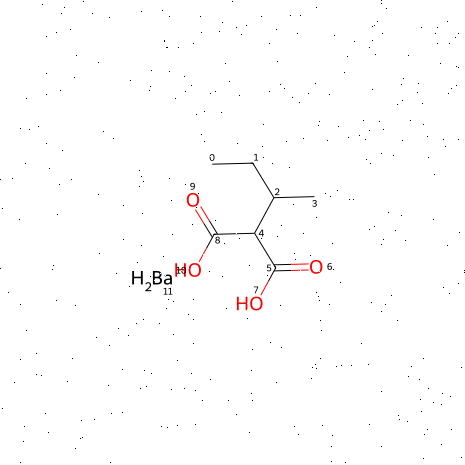 CCC(C)C(C(=O)O)C(=O)O.[BaH2]